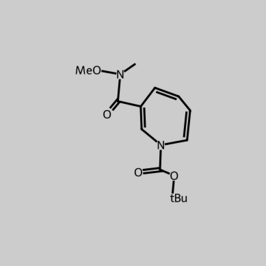 CON(C)C(=O)C1=CN(C(=O)OC(C)(C)C)C=CC=C1